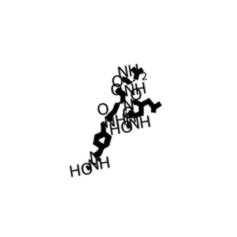 CC(C)CC(CC(=O)NO)C(=O)N[C@@H](CCC(=O)NCc1ccc(C=NNO)cc1)C(=O)N[C@@H](CC(C)C)C(N)=O